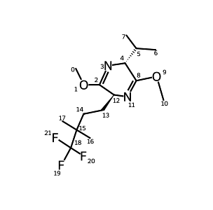 COC1=N[C@H](C(C)C)C(OC)=N[C@H]1CCC(C)(C)C(F)(F)F